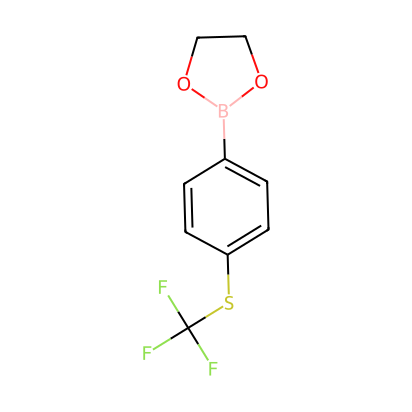 FC(F)(F)Sc1ccc(B2OCCO2)cc1